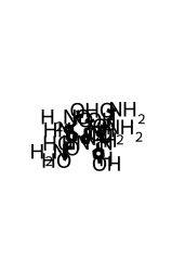 N[C@@H](CO)C(=O)O.N[C@@H](Cc1c[nH]c2ccccc12)C(=O)O.N[C@@H](Cc1c[nH]cn1)C(=O)O.[2H]N[C@@H](Cc1ccc(O)cc1)C(=O)OC(=O)[C@@H](N)CCC(N)=O